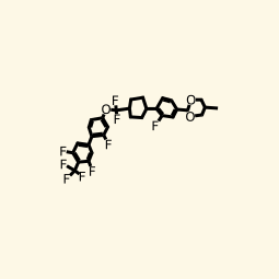 CC1COC(c2ccc(C3CCC(C(F)(F)Oc4ccc(-c5cc(F)c(C(F)(F)F)c(F)c5)c(F)c4)CC3)c(F)c2)OC1